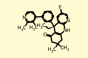 CC[C@]1(c2cccc(-c3ccnc(C)c3C)c2)C2=C(CC(C)(C)CC2=O)Nc2ncc(F)cc21